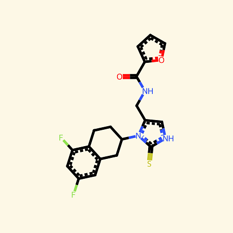 O=C(NCc1c[nH]c(=S)n1C1CCc2c(F)cc(F)cc2C1)c1ccco1